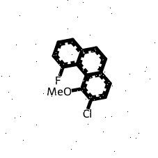 COc1c(Cl)ccc2ccc3cccc(F)c3c12